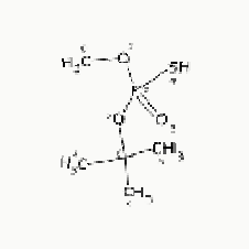 COP(=O)(S)OC(C)(C)C